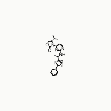 CC(Nc1nccc(N2C(=O)OC[C@@H]2C(C)C)n1)c1nc(-c2ccccc2)no1